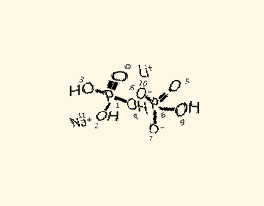 O=P(O)(O)O.O=P([O-])([O-])O.[Li+].[Na+]